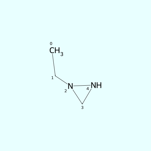 CCN1CN1